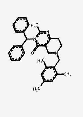 Cc1cc(C)c(CN2CCc3nc(C)n(C(c4ccccc4)c4ccccc4)c(=O)c3C2)c(C)c1